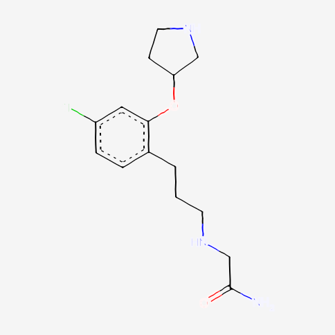 NC(=O)CNCCCc1ccc(Cl)cc1OC1CCNC1